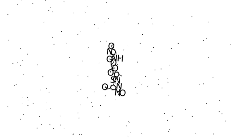 COc1ccc(NC(=O)OCC2COc3c(cc(C)c4nc(-c5cc(C=O)cc6nc(OC)cnc56)sc34)O2)cn1